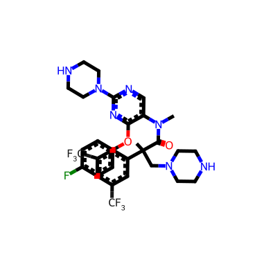 CN(C(=O)C(C)(CN1CCNCC1)c1cc(C(F)(F)F)cc(C(F)(F)F)c1)c1cnc(N2CCNCC2)nc1Oc1ccc(F)cc1